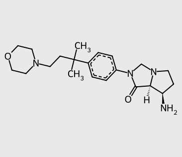 CC(C)(CCN1CCOCC1)c1ccc(N2CN3CC[C@@H](N)[C@H]3C2=O)cc1